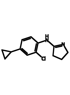 Clc1cc(C2CC2)ccc1NC1=NCCC1